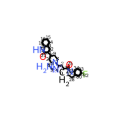 C=C(/C=C(\N=C/N)N1CCC(c2cc3ccccc3[nH]c2=O)CC1)C(=O)N1CCc2cc(F)ccc21